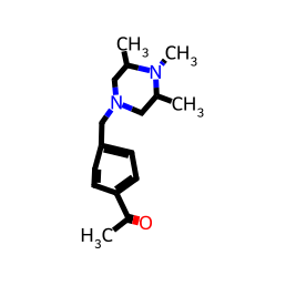 CC(=O)c1ccc(CN2CC(C)N(C)C(C)C2)cc1